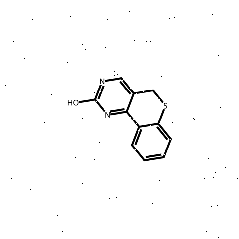 Oc1ncc2c(n1)-c1ccccc1SC2